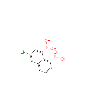 OB(O)c1cccc2cc(Cl)cc(B(O)O)c12